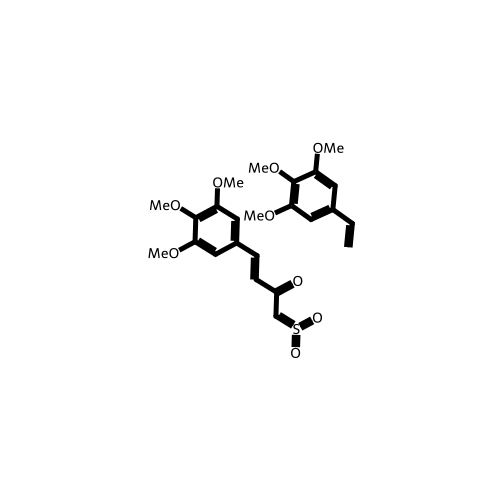 C=Cc1cc(OC)c(OC)c(OC)c1.COc1cc(C=CC(=O)C=S(=O)=O)cc(OC)c1OC